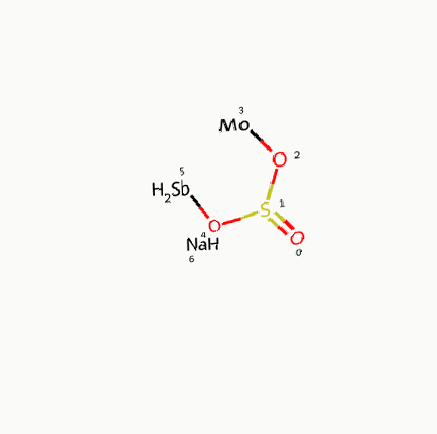 O=S([O][Mo])[O][SbH2].[NaH]